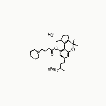 CCCCCC(C)CCc1cc(OC(=O)CCCN2CCCCC2)c2c(c1)OC(C)(C)C1=C2C(C)CC1.Cl